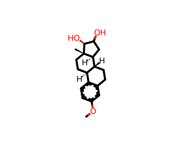 COc1ccc2c(c1)CC[C@@H]1[C@@H]2CC[C@]2(C)[C@@H](O)C(O)C[C@@H]12